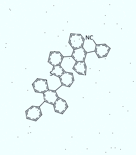 N#Cc1ccccc1-c1c2ccccc2c(-c2cccc3sc4c(-c5c6ccccc6c(-c6ccccc6)c6ccccc56)cccc4c23)c2ccccc12